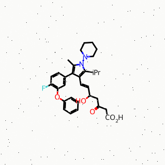 Cc1c(-c2ccc(F)c(Oc3ccccc3)c2)c(C=CC(O)CC(=O)CC(=O)O)c(C(C)C)n1N1CCCCC1